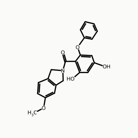 COc1ccc2c(c1)CN(C(=O)c1c(O)cc(O)cc1Oc1ccccc1)C2